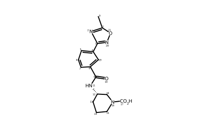 Cc1nc(-c2cccc(C(=O)N[C@H]3CCCN(C(=O)O)C3)c2)no1